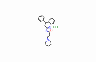 Cl.c1ccc(C(Cc2noc(CCN3CCCCC3)n2)c2ccccc2)cc1